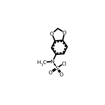 CN(c1ccc2c(c1)OCO2)S(=O)(=O)Cl